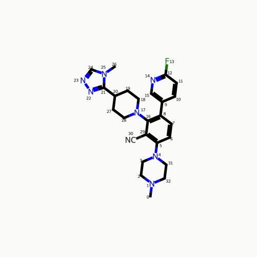 CN1CCN(c2ccc(-c3ccc(F)nc3)c(N3CCC(c4nncn4C)CC3)c2C#N)CC1